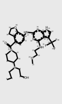 CCCN(CCO)C1CCN(C(=O)c2ccc(Nc3nc(NCCOC)c4c(C(F)(F)F)c[nH]c4n3)c3c2CCO3)CC1